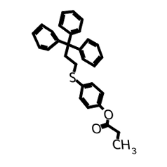 CCC(=O)Oc1ccc(SCCC(c2ccccc2)(c2ccccc2)c2ccccc2)cc1